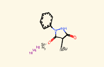 CCCCC1C(=O)NN(c2ccccc2)C1=O.I.I.I.[SnH2]